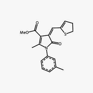 COC(=O)C1=C(C)N(c2cccc(C)c2)C(=O)/C1=C\C1=CCCS1